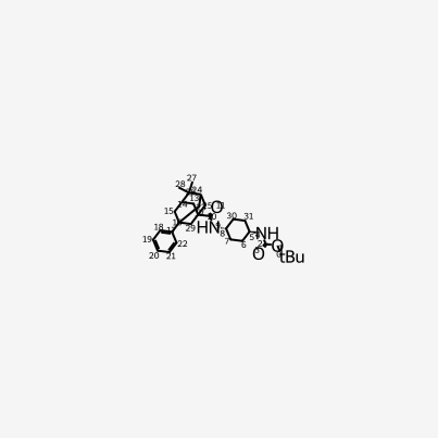 CC(C)(C)OC(=O)N[C@H]1CC[C@H](NC(=O)C23CC4CC(c5ccccc5)(CC(C2)C4(C)C)C3)CC1